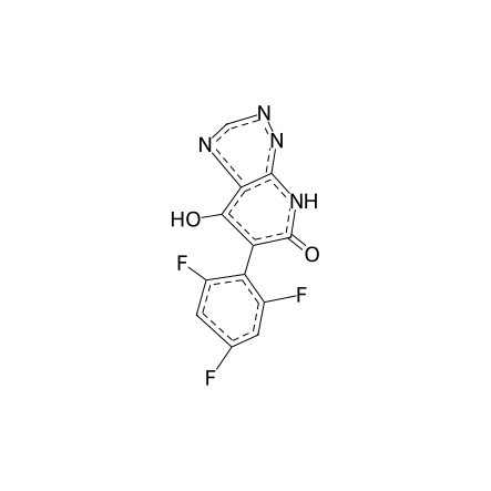 O=c1[nH]c2nncnc2c(O)c1-c1c(F)cc(F)cc1F